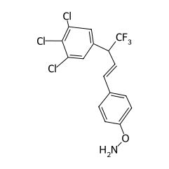 NOc1ccc(C=CC(c2cc(Cl)c(Cl)c(Cl)c2)C(F)(F)F)cc1